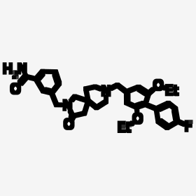 CCOc1cc(CN2CCC3(CC2)CC(=O)N(Cc2cccc(C(N)=O)c2)C3)cc(OCC)c1-c1ccc(F)cc1